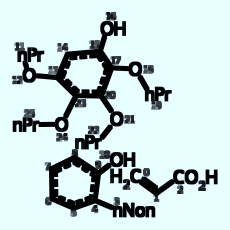 C=CC(=O)O.CCCCCCCCCc1ccccc1O.CCCOc1cc(O)c(OCCC)c(OCCC)c1OCCC